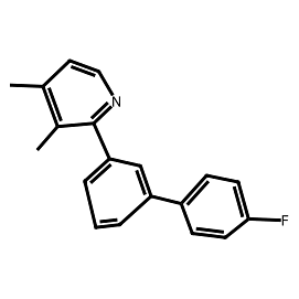 Cc1ccnc(-c2cccc(-c3ccc(F)cc3)c2)c1C